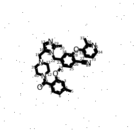 COc1cc(C)ccc1C(=O)N1CCN(Cc2cnc(C)n2Cc2ccc(C#N)c(Oc3cccnc3C)c2)CC1